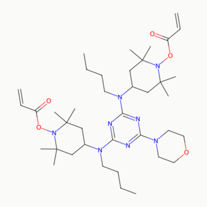 C=CC(=O)ON1C(C)(C)CC(N(CCCC)c2nc(N3CCOCC3)nc(N(CCCC)C3CC(C)(C)N(OC(=O)C=C)C(C)(C)C3)n2)CC1(C)C